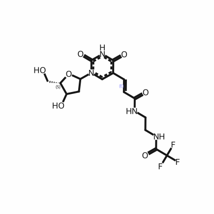 O=C(/C=C/c1cn(C2CC(O)[C@H](CO)O2)c(=O)[nH]c1=O)NCCNC(=O)C(F)(F)F